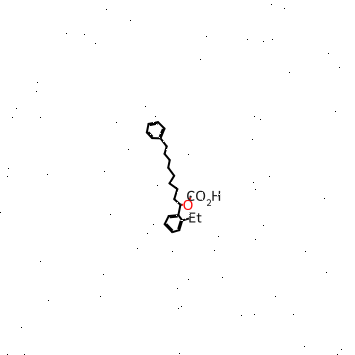 CCc1ccccc1C(CCCCCCCCc1ccccc1)OC(=O)O